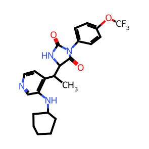 CC(c1ccncc1NC1CCCCC1)C1NC(=O)N(c2ccc(OC(F)(F)F)cc2)C1=O